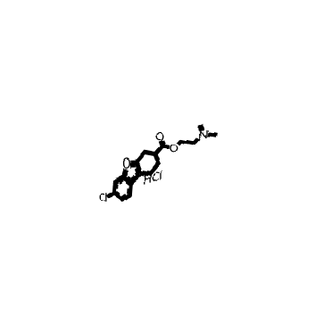 CN(C)CCOC(=O)C1CCc2c(oc3cc(Cl)ccc23)C1.Cl